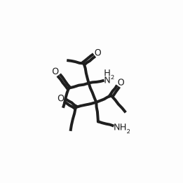 CC(=O)C(N)(C(C)=O)C(CN)(C(C)=O)C(C)=O